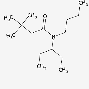 CCCCN(C(=O)CC(C)(C)C)C(CC)CC